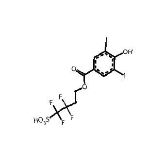 O=C(OCCC(F)(F)C(F)(F)S(=O)(=O)O)c1cc(I)c(O)c(I)c1